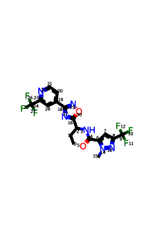 CCC(NC(=O)c1cc(C(F)(F)F)nn1C)c1nc(-c2ccnc(C(F)(F)F)c2)no1